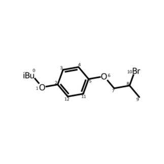 CCC(C)Oc1ccc(OCC(C)Br)cc1